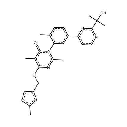 Cc1cc(COc2nc(C)n(-c3cc(-c4ccnc(C(C)(C)O)n4)ccc3C)c(=O)c2C)cs1